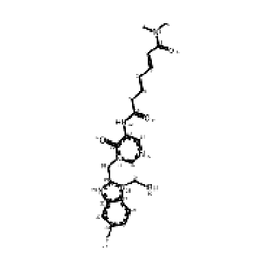 CN(C)C(=O)/C=C/CCCC(=O)Nc1cncn(Cc2nc3cc(F)ccc3n2CC(C)(C)C)c1=O